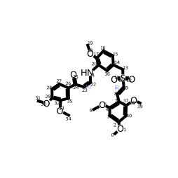 COc1cc(OC)c(/C=C/S(=O)(=O)Cc2ccc(OC)c(N/C=C\C(=O)c3ccc(OC)c(OC)c3)c2)c(OC)c1